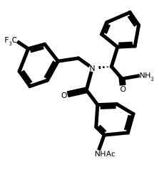 CC(=O)Nc1cccc(C(=O)N(Cc2cccc(C(F)(F)F)c2)[C@@H](C(N)=O)c2ccccc2)c1